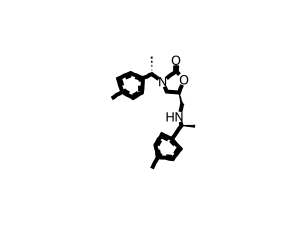 Cc1ccc([C@H](C)NC[C@H]2CN([C@@H](C)c3ccc(C)cc3)C(=O)O2)cc1